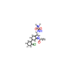 CC(C)C(=O)n1cc(CNS(=O)(=O)N(C)C)c2ccc(-c3ccccc3Cl)cc21